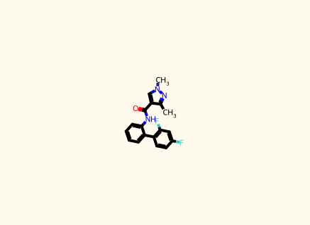 Cc1nn(C)cc1C(=O)Nc1ccccc1-c1ccc(F)cc1F